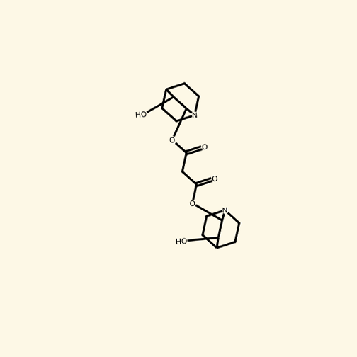 O=C(CC(=O)OC1C(O)C2CCN1CC2)OC1C(O)C2CCN1CC2